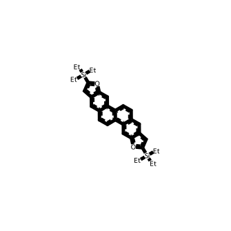 CC[Si](CC)(CC)c1cc2cc3ccc4c5cc6oc([Si](CC)(CC)CC)cc6cc5ccc4c3cc2o1